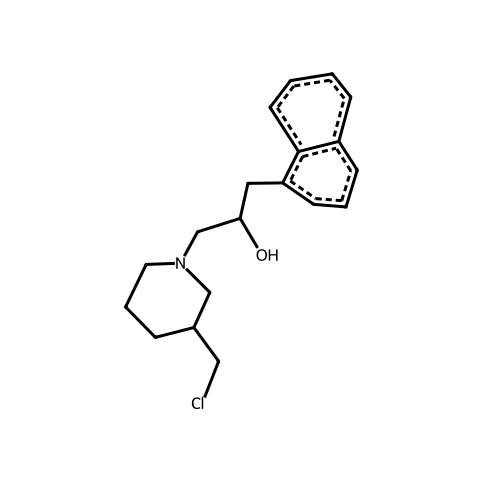 OC(Cc1cccc2ccccc12)CN1CCCC(CCl)C1